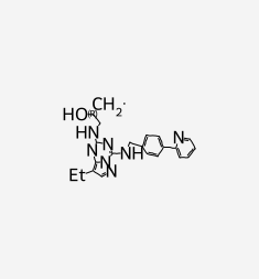 [CH2][C@@H](O)CNc1nc(NCc2ccc(-c3ccccn3)cc2)n2ncc(CC)c2n1